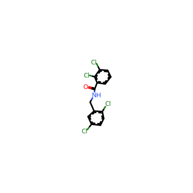 O=C(NCc1cc(Cl)ccc1Cl)c1cccc(Cl)c1Cl